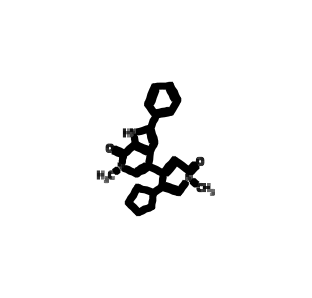 Cn1cc(C2CCCC2)c(-c2cn(C)c(=O)c3[nH]c(-c4ccccc4)cc23)cc1=O